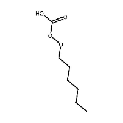 CCCCCCOOC(=O)O